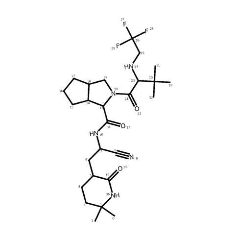 CC1(C)CCC(CC(C#N)NC(=O)C2C3CCCC3CN2C(=O)C(NCC(F)(F)F)C(C)(C)C)C(=O)N1